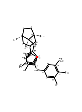 Cc1noc(N2C[C@H]3CC[C@@H](C2)[C@H]3Nc2nc(Oc3cc(C)c(F)c(C(F)(F)F)c3)n(C(C)C)n2)n1